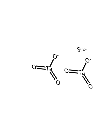 [O]=[Ta](=[O])[O-].[O]=[Ta](=[O])[O-].[Sr+2]